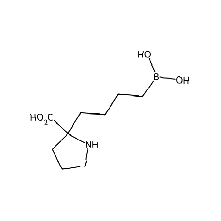 O=C(O)C1(CCCCB(O)O)CCCN1